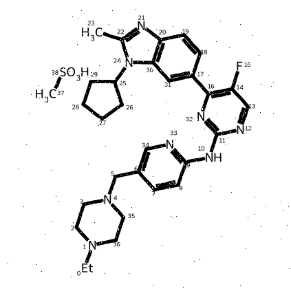 CCN1CCN(Cc2ccc(Nc3ncc(F)c(-c4ccc5nc(C)n(C6CCCC6)c5c4)n3)nc2)CC1.CS(=O)(=O)O